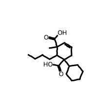 CCCCC1C(C)(C(=O)O)C=CCC1(C(=O)O)C1CCCCC1